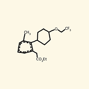 CCOC(=O)Cc1cccc(C)c1C1CCC(OCC(F)(F)F)CC1